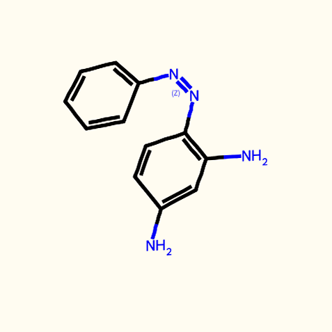 Nc1ccc(/N=N\c2ccccc2)c(N)c1